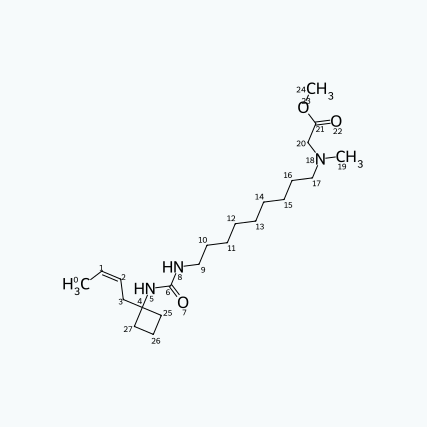 C/C=C\CC1(NC(=O)NCCCCCCCCCN(C)CC(=O)OC)CCC1